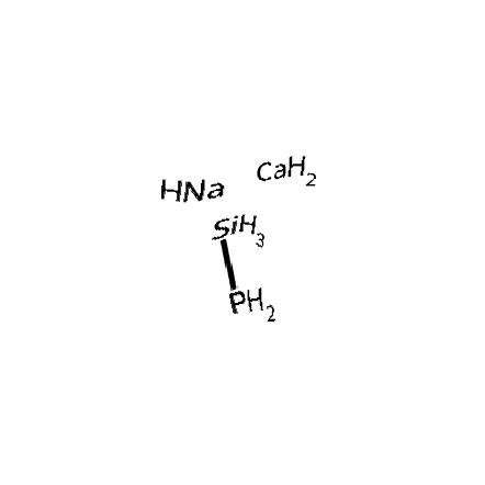 [CaH2].[NaH].[SiH3]P